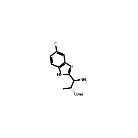 CO[C@H](C)[C@H](N)c1nc2cc(Cl)ccc2[nH]1